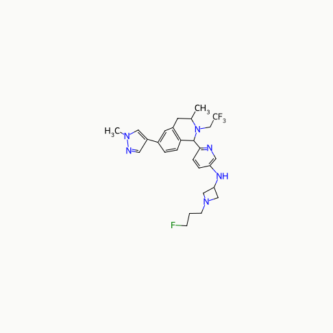 CC1Cc2cc(-c3cnn(C)c3)ccc2C(c2ccc(NC3CN(CCCF)C3)cn2)N1CC(F)(F)F